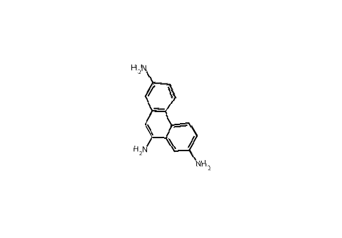 Nc1ccc2c(c1)cc(N)c1cc(N)ccc12